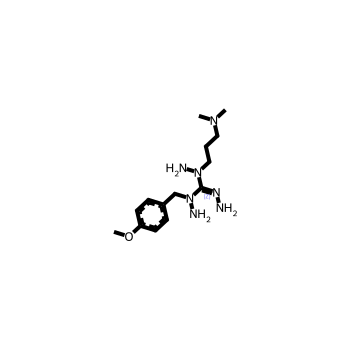 COc1ccc(CN(N)/C(=N\N)N(N)CCCN(C)C)cc1